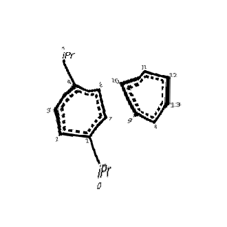 CC(C)c1ccc(C(C)C)cc1.c1ccccc1